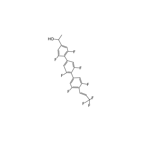 CC(O)c1cc(F)c(-c2cc(F)c(-c3cc(F)c(/C=C/C(F)(F)F)c(F)c3)c(F)c2)c(F)c1